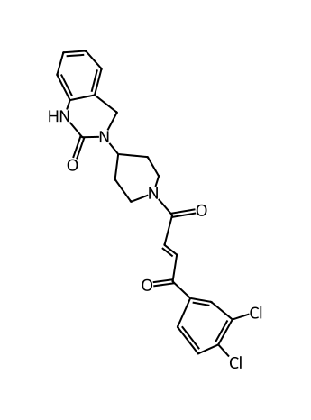 O=C(C=CC(=O)N1CCC(N2Cc3ccccc3NC2=O)CC1)c1ccc(Cl)c(Cl)c1